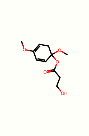 COC1=CCC(OC)(OC(=O)CCO)C=C1